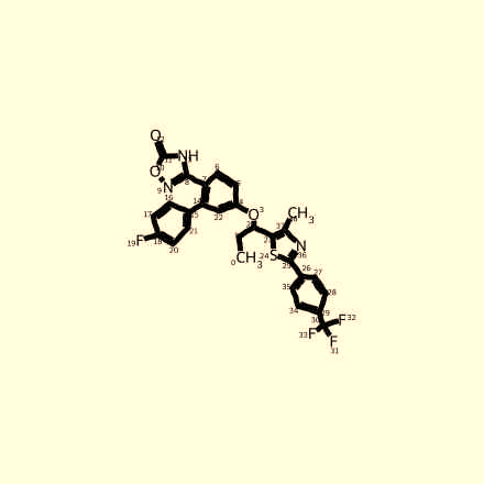 CCC(Oc1ccc(-c2noc(=O)[nH]2)c(-c2ccc(F)cc2)c1)c1sc(-c2ccc(C(F)(F)F)cc2)nc1C